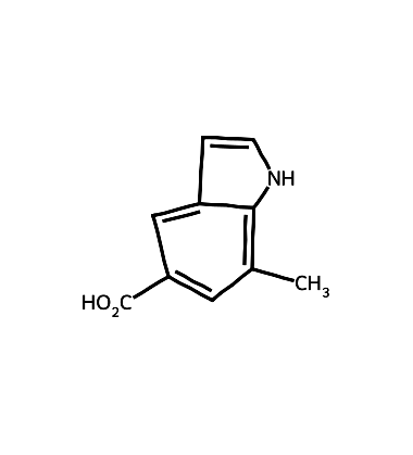 Cc1cc(C(=O)O)cc2cc[nH]c12